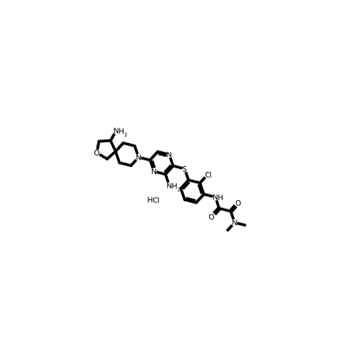 CN(C)C(=O)C(=O)Nc1cccc(Sc2ncc(N3CCC4(CC3)COCC4N)nc2N)c1Cl.Cl